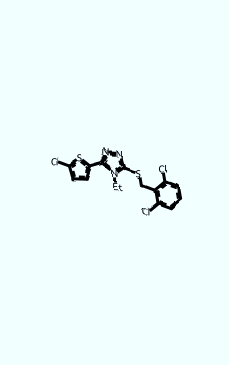 CCn1c(SCc2c(Cl)cccc2Cl)nnc1-c1ccc(Cl)s1